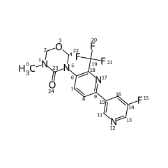 CN1COCN(c2ccc(-c3cncc(F)c3)nc2C(F)(F)F)C1=O